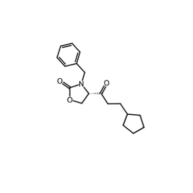 O=C(CCC1CCCC1)[C@@H]1COC(=O)N1Cc1ccccc1